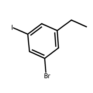 CCc1cc(Br)cc(I)c1